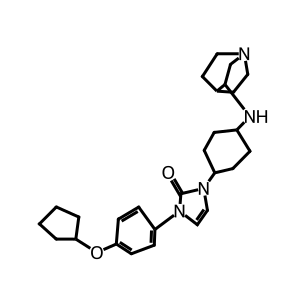 O=c1n(-c2ccc(OC3CCCC3)cc2)ccn1C1CCC(NC2CN3CCC2CC3)CC1